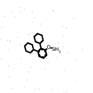 [SiH3]Oc1cccc(C2CCCCC2)c1C1CCCCC1